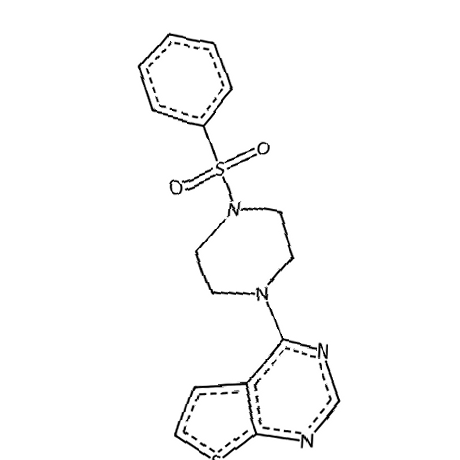 O=S(=O)(c1ccccc1)N1CCN(c2ncnc3sccc23)CC1